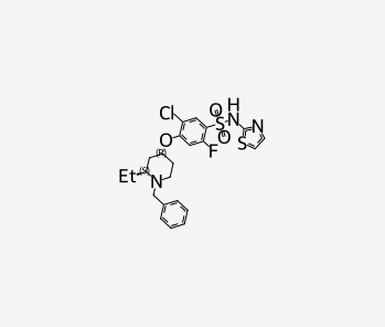 CC[C@H]1C[C@H](Oc2cc(F)c(S(=O)(=O)Nc3nccs3)cc2Cl)CCN1Cc1ccccc1